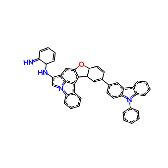 N=C1C=CC=CC1Nc1cn2c3ccccc3c3c4c(cc1c32)OC1C=CC(c2ccc3c(c2)c2ccccc2n3-c2ccccc2)=CC41